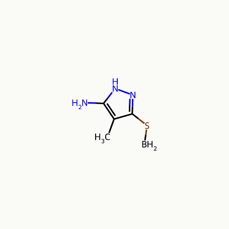 BSc1n[nH]c(N)c1C